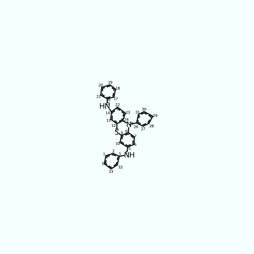 c1ccc(Nc2ccc3c(c2)Sc2cc(Nc4ccccc4)ccc2N3c2ccccc2)cc1